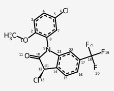 COc1ccc(Cl)cc1N1C(=O)[C@H](Cl)c2ccc(C(F)(F)F)cc21